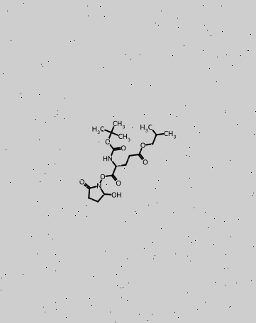 CC(C)COC(=O)CC[C@H](NC(=O)OC(C)(C)C)C(=O)ON1C(=O)CCC1O